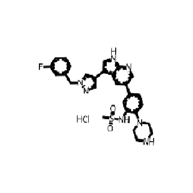 CS(=O)(=O)Nc1cc(-c2cnc3[nH]cc(-c4cnn(Cc5cccc(F)c5)c4)c3c2)ccc1N1CCNCC1.Cl